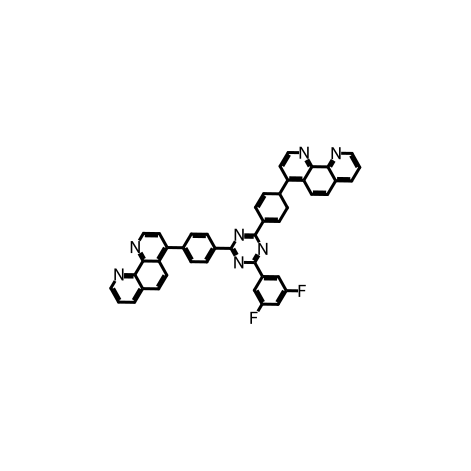 Fc1cc(F)cc(-c2nc(C3=CCC(c4ccnc5c4ccc4cccnc45)C=C3)nc(-c3ccc(-c4ccnc5c4ccc4cccnc45)cc3)n2)c1